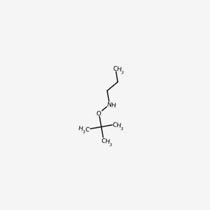 CCCNOC(C)(C)C